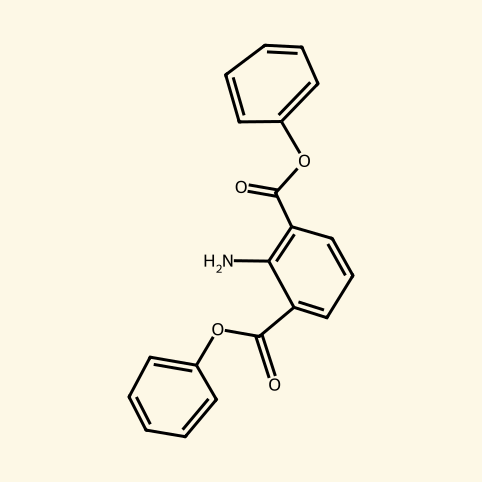 Nc1c(C(=O)Oc2ccccc2)cccc1C(=O)Oc1ccccc1